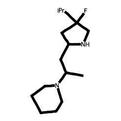 CC(CC1CC(F)(C(C)C)CN1)N1CCCCC1